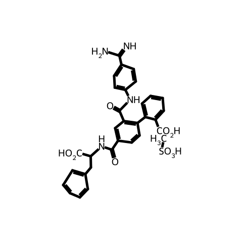 CS(=O)(=O)O.N=C(N)c1ccc(NC(=O)c2cc(C(=O)NC(Cc3ccccc3)C(=O)O)ccc2-c2ccccc2C(=O)O)cc1